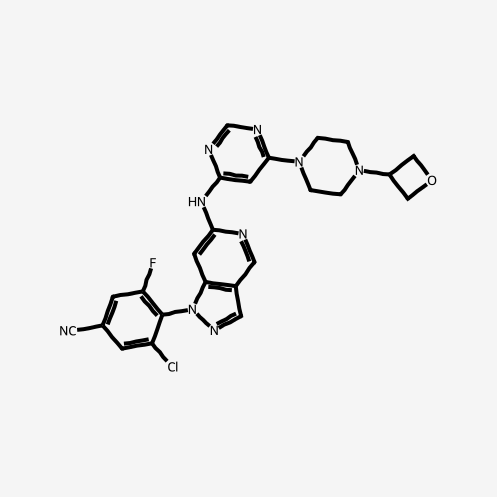 N#Cc1cc(F)c(-n2ncc3cnc(Nc4cc(N5CCN(C6COC6)CC5)ncn4)cc32)c(Cl)c1